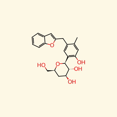 Cc1cc(O)c([C@@H]2O[C@H](CO)C[C@H](O)[C@H]2O)cc1Cc1cc2ccccc2o1